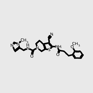 COc1ccccc1CCC(=O)Nc1sc2c(c1C#N)CCN(C(=O)NCc1cncn1C)C2